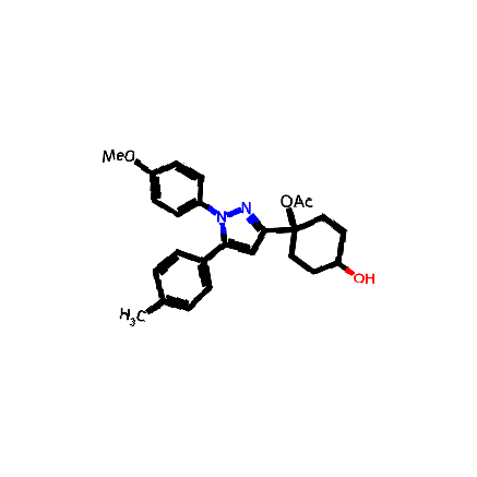 COc1ccc(-n2nc(C3(OC(C)=O)CCC(O)CC3)cc2-c2ccc(C)cc2)cc1